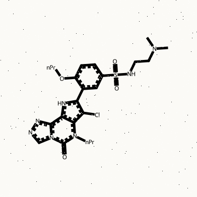 CCCOc1ccc(S(=O)(=O)NCCN(C)C)cc1-c1[nH]c2c(c1Cl)n(CCC)c(=O)n1cnnc21